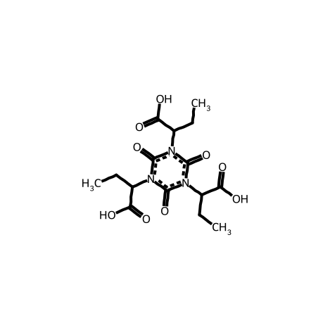 CCC(C(=O)O)n1c(=O)n(C(CC)C(=O)O)c(=O)n(C(CC)C(=O)O)c1=O